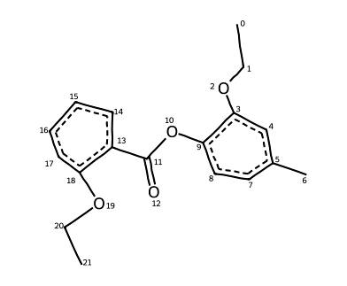 CCOc1cc(C)ccc1OC(=O)c1ccccc1OCC